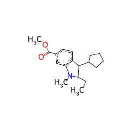 CCC1C(C2CCCC2)c2ccc(C(=O)OC)cc2N1C